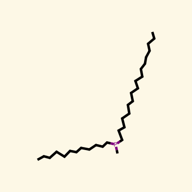 CCCCCCCCCCCCCCCCCCP(C)CCCCCCCCCCCC